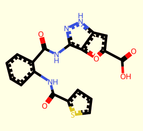 O=C(O)c1cc2[nH]nc(NC(=O)c3ccccc3NC(=O)c3cccs3)c2o1